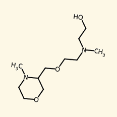 CN(CCO)CCOCC1COCCN1C